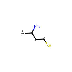 CC(=O)C(N)CCS